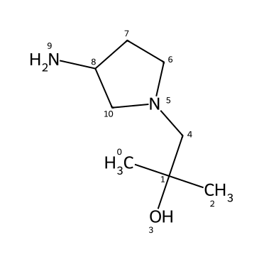 CC(C)(O)CN1CCC(N)C1